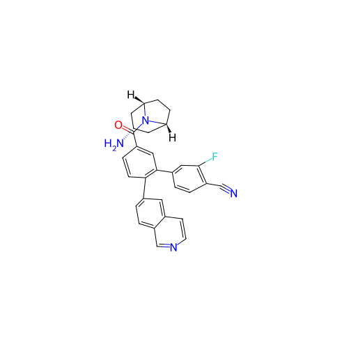 N#Cc1ccc(-c2cc(C(=O)N3[C@@H]4CC[C@H]3C[C@@H](N)C4)ccc2-c2ccc3cnccc3c2)cc1F